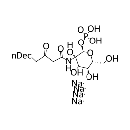 CCCCCCCCCCCC(=O)CC(=O)N[C@]1(O)[C@@H](OP(=O)(O)O)O[C@H](CO)[C@@H](O)[C@@H]1O.[Na].[Na].[Na].[Na]